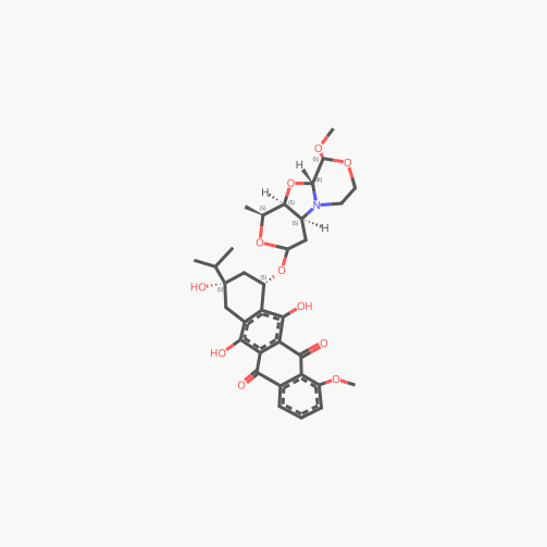 COc1cccc2c1C(=O)c1c(O)c3c(c(O)c1C2=O)C[C@@](O)(C(C)C)C[C@@H]3OC1C[C@H]2[C@H](O[C@@H]3[C@@H](OC)OCCN32)[C@H](C)O1